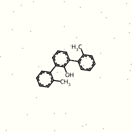 Cc1ccccc1-c1cccc(-c2ccccc2C)c1O